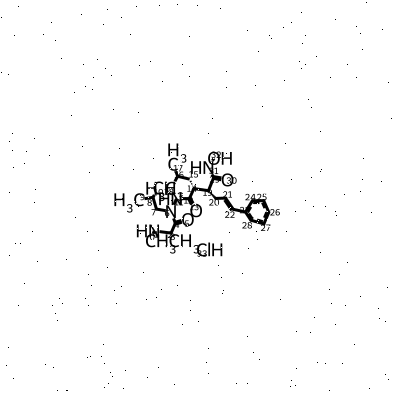 CN[C@@H](C)C(=O)N(CC(C)C)NC(=O)[C@H](CC(C)C)[C@H](CC=Cc1ccccc1)C(=O)NO.Cl